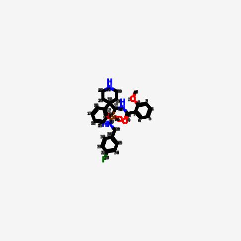 COc1ccccc1C(=O)NC(C1(c2ccccc2)CCNCC1)S(=O)(=O)NCc1ccc(F)cc1